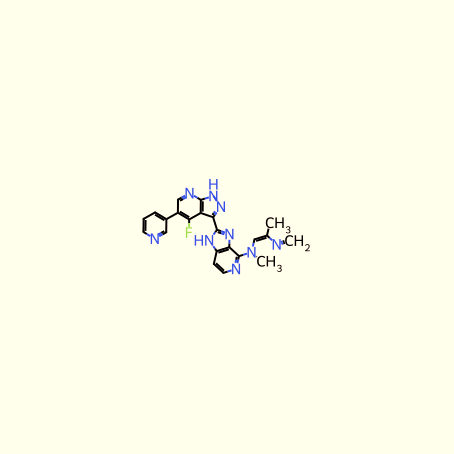 C=N/C(C)=C\N(C)c1nccc2[nH]c(-c3n[nH]c4ncc(-c5cccnc5)c(F)c34)nc12